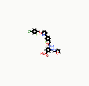 O=C(Cc1ccc(-c2cccc(OCc3ccc(Cl)cc3F)n2)cc1F)Nc1ccc(C(=O)O)cc1NCC1CCCO1